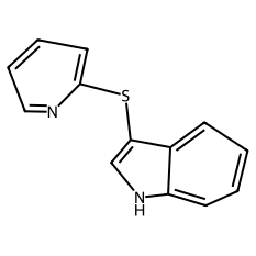 c1ccc(Sc2c[nH]c3ccccc23)nc1